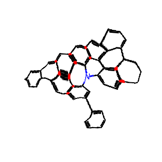 c1ccc(-c2ccc(-c3ccccc3)c(N(c3ccccc3-c3cccc4c3ccc3ccccc34)c3ccccc3-c3cccc4cccc(C5CCCCC5)c34)c2)cc1